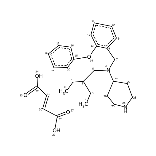 CCC(CC)CN(Cc1ccccc1Oc1ccccc1)C1CCNCC1.O=C(O)/C=C/C(=O)O